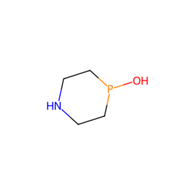 OP1CCNCC1